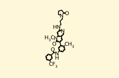 Cc1ccc(NC(=O)c2cccc(C(F)(F)F)c2)cc1-c1cc2cnc(NCCCN3CCCC3=O)cc2n(C)c1=O